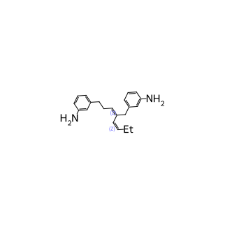 CC/C=C\C(=C/CCc1cccc(N)c1)Cc1cccc(N)c1